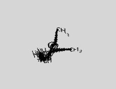 CCCCCCCCCCCCCCCC(=O)OC[C@H](COP(=O)(O)OC[C@H]1O[C@@H](n2cnc3c(=S)[nH]c(N)nc32)C[C@@H]1O)OC(=O)CCCCCCCCCCCCCCC